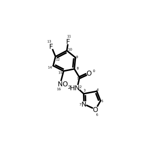 O=C(Nc1ccon1)c1cc(F)c(F)cc1[N+](=O)[O-]